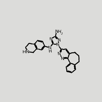 Nc1nc(Nc2ccc3c(c2)CNCC3)n(-c2cc3c(nn2)-c2ccccc2CCC3)n1